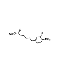 Bc1ccc(CCCCCC(=O)OC)cc1F